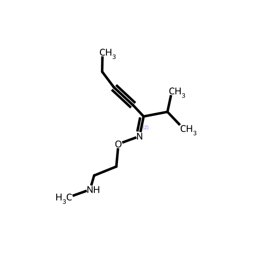 CCC#C/C(=N\OCCNC)C(C)C